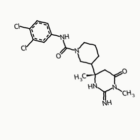 CN1C(=N)N[C@](C)(C2CCCN(C(=O)Nc3ccc(Cl)c(Cl)c3)C2)CC1=O